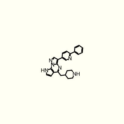 c1ccc(-c2ccc(-c3cnn4c3nc(CC3CCNCC3)c3cc[nH]c34)cn2)cc1